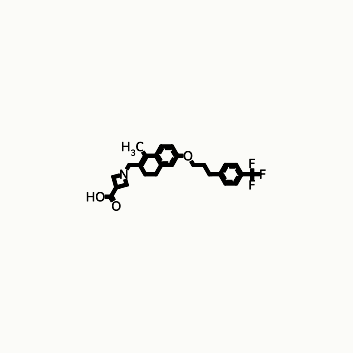 CC1=C(CN2CC(C(=O)O)C2)CCc2cc(OCCCc3ccc(C(F)(F)F)cc3)ccc21